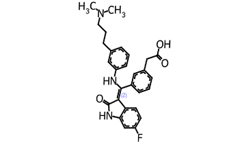 CN(C)CCCc1cccc(N/C(=C2\C(=O)Nc3cc(F)ccc32)c2cccc(CC(=O)O)c2)c1